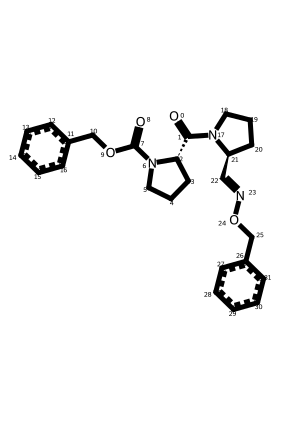 O=C([C@@H]1CCCN1C(=O)OCc1ccccc1)N1CCC[C@H]1C=NOCc1ccccc1